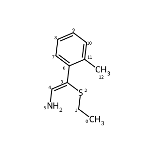 CCSC(=CN)c1ccccc1C